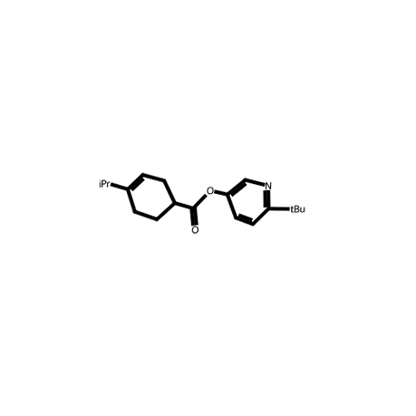 CC(C)C1=CCC(C(=O)Oc2ccc(C(C)(C)C)nc2)CC1